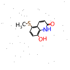 CSc1ccc(O)c2[nH]c(=O)ccc12